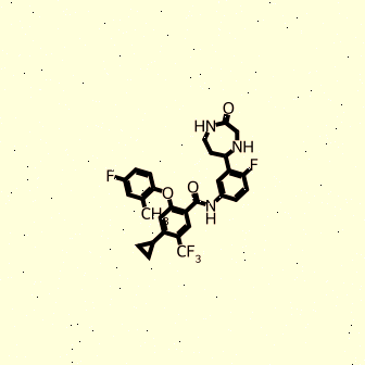 Cc1cc(F)ccc1Oc1cc(C2CC2)c(C(F)(F)F)cc1C(=O)Nc1ccc(F)c(C2CCNC(=O)CN2)c1